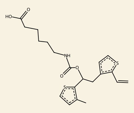 C=Cc1sccc1CC(OC(=O)NCCCCCC(=O)O)c1sccc1C